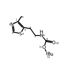 Cc1ncsc1CCNC(=O)OC(C)(C)C